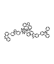 C1=CC(c2cccc3sc4ccccc4c23)CC2=C1C1CC=C(C3=NC(c4ccccc4)NC(c4cccc5oc6ccc(-c7ccc8sc9ccc(-c%10ccc%11c(c%10)c%10ccccc%10n%11-c%10ccccc%10)cc9c8c7)cc6c45)=N3)C=C1O2